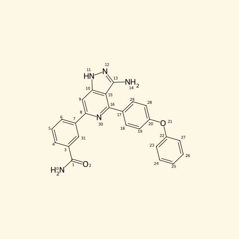 NC(=O)c1cccc(-c2cc3[nH]nc(N)c3c(-c3ccc(Oc4ccccc4)cc3)n2)c1